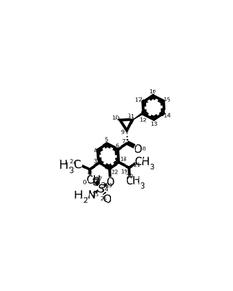 CC(C)c1ccc(C(=O)[C@@H]2C[C@H]2c2ccccc2)c(C(C)C)c1OS(N)(=O)=O